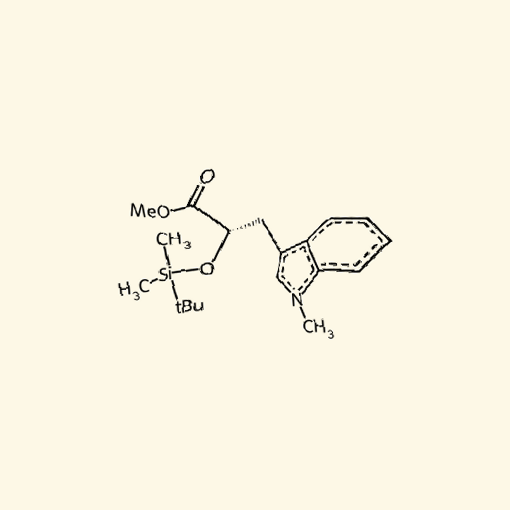 COC(=O)[C@H](Cc1cn(C)c2ccccc12)O[Si](C)(C)C(C)(C)C